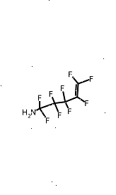 NC(F)(F)C(F)(F)C(F)(F)C(F)=C(F)F